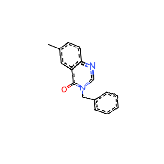 Cc1ccc2ncn(Cc3ccccc3)c(=O)c2c1